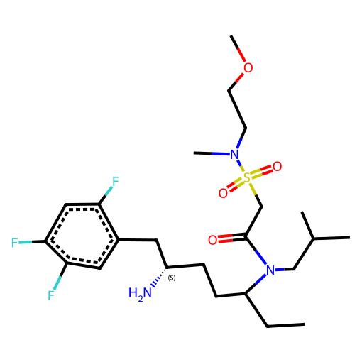 CCC(CC[C@H](N)Cc1cc(F)c(F)cc1F)N(CC(C)C)C(=O)CS(=O)(=O)N(C)CCOC